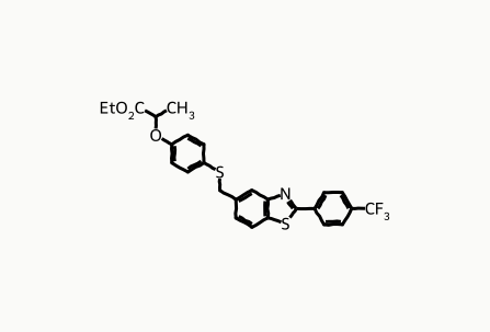 CCOC(=O)C(C)Oc1ccc(SCc2ccc3sc(-c4ccc(C(F)(F)F)cc4)nc3c2)cc1